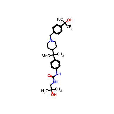 COC(C)(c1ccc(NC(=O)NCC(C)(C)O)cc1)C1CCN(Cc2ccc(C(O)(C(F)(F)F)C(F)(F)F)cc2)CC1